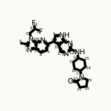 Cc1nc2ccc(-c3c[nH]c4nc(NC5CCC(N6CCCC6=O)CC5)ncc34)nc2n1CC(F)F